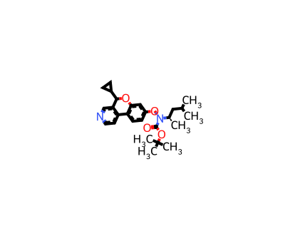 CC(C)C[C@H](C)N(Oc1ccc2c(c1)OC(C1CC1)c1cnccc1-2)C(=O)OC(C)(C)C